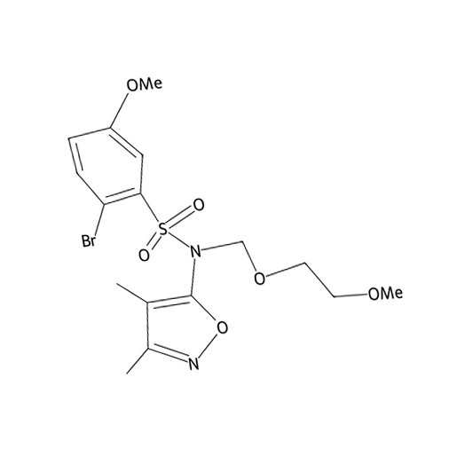 COCCOCN(c1onc(C)c1C)S(=O)(=O)c1cc(OC)ccc1Br